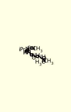 CC(C)c1cnn2c(NCc3cccc(NC(=O)C4CCC(NCC=CC(=O)N(C)C)CC4)c3)nc(OC3CCN(C)CC3)nc12